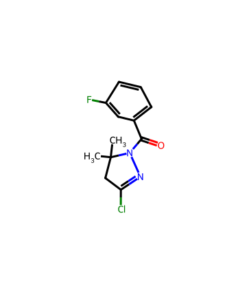 CC1(C)CC(Cl)=NN1C(=O)c1cccc(F)c1